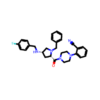 N#Cc1ccccc1N1CCN(C(=O)[C@@H]2C[C@H](NCc3ccc(F)cc3)CN2Cc2ccccc2)CC1